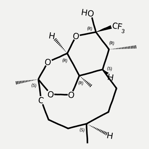 C[C@H]1CCC[C@]2(C)OO[C@@]3(C)[C@@H](O2)O[C@@](O)(C(F)(F)F)[C@H](C)[C@@H]3CC1